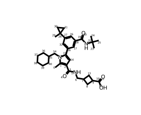 Cc1c(C(=O)NCC2CC(C(=O)O)C2)cc(-c2cc(C(=O)NC(C)(C)C)cc(C3(C)CC3)c2)n1CC1CCCCC1